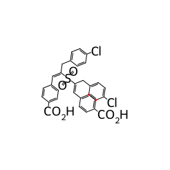 O=C(O)c1ccc(C=C(Cc2ccc(Cl)cc2)S(=O)(=O)C(=Cc2ccc(C(=O)O)cc2)Cc2ccc(Cl)cc2)cc1